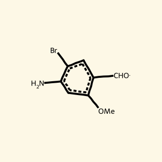 COc1cc(N)c(Br)cc1[C]=O